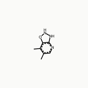 Cc1cnc2c(c1C)ONN2